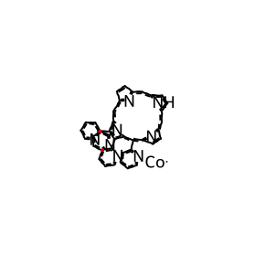 C1=Cc2cc3c(-c4ccccn4)c(-c4ccccn4)c(c(-c4ccccn4)c4nc(cc5ccc(cc1n2)[nH]5)C=C4)n3-c1ccccn1.[Co]